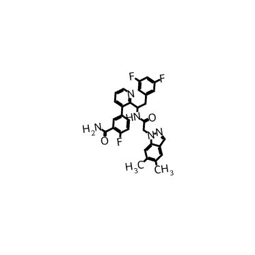 Cc1cc2cnn(CC(=O)NC(Cc3cc(F)cc(F)c3)c3ncccc3-c3ccc(F)c(C(N)=O)c3)c2cc1C